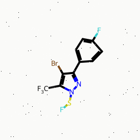 FSn1nc(-c2ccc(F)cc2)c(Br)c1C(F)(F)F